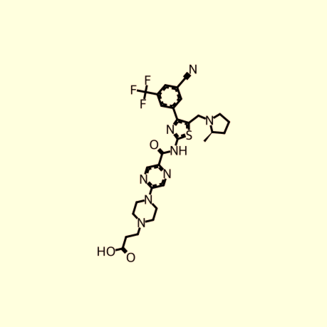 C[C@@H]1CCCN1Cc1sc(NC(=O)c2cnc(N3CCN(CCC(=O)O)CC3)cn2)nc1-c1cc(C#N)cc(C(F)(F)F)c1